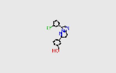 OCc1cccc(-c2ccc3ncc(-c4cccc(Cl)c4)n3n2)c1